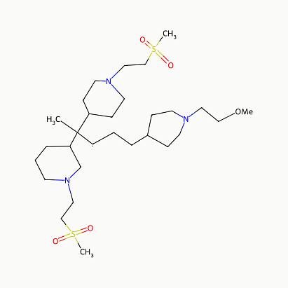 COCCN1CCC(CC[CH]C(C)(C2CCN(CCS(C)(=O)=O)CC2)C2CCCN(CCS(C)(=O)=O)C2)CC1